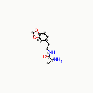 C[C@H](N)C(=O)NCCc1ccc2c(c1)OCO2